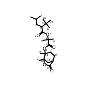 CC(C)CC(C(=O)OC(C)(C)C(=O)OC1(C)CCC2CC1(C)OC2=O)C(C)(C)C